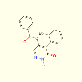 CCc1ccccc1-c1c(OC(=O)c2ccccc2)cnn(C)c1=O